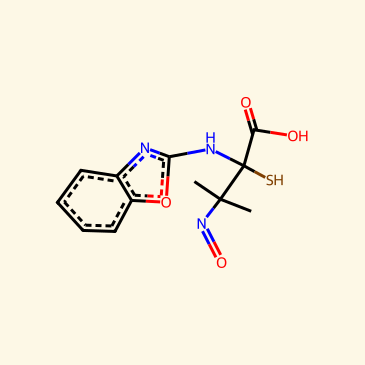 CC(C)(N=O)C(S)(Nc1nc2ccccc2o1)C(=O)O